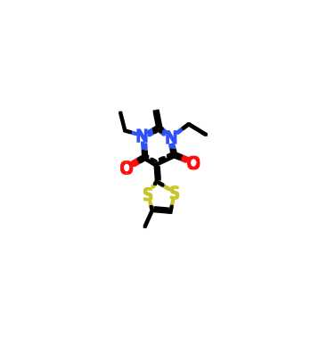 C=c1n(CC)c(=O)c(=C2SC=C(C)S2)c(=O)n1CC